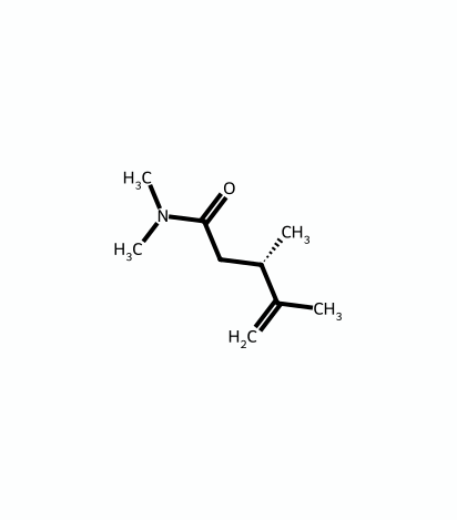 C=C(C)[C@@H](C)CC(=O)N(C)C